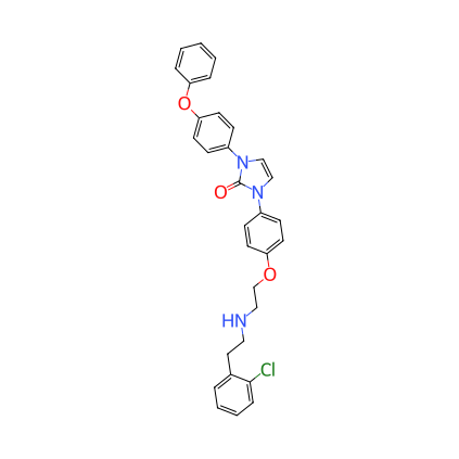 O=c1n(-c2ccc(OCCNCCc3ccccc3Cl)cc2)ccn1-c1ccc(Oc2ccccc2)cc1